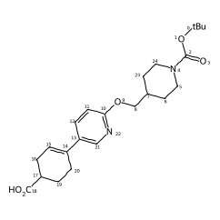 CC(C)(C)OC(=O)N1CCC(COc2ccc(C3=CCC(C(=O)O)CC3)cn2)CC1